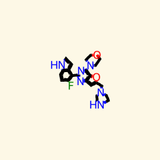 Fc1ccc2[nH]ccc2c1-c1nc(N2CCOCC2)c2oc(CN3CCNCC3)cc2n1